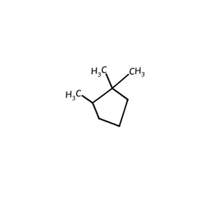 CC1CCCC1(C)C